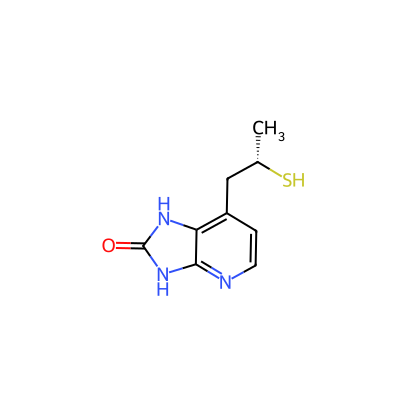 C[C@H](S)Cc1ccnc2[nH]c(=O)[nH]c12